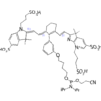 CC(C)N(C(C)C)P(OCCC#N)OCCCCOc1cccc(C2=C(/C=C/C3=Nc4c(cc(S(=O)(=O)O)c[n+]4CCCS(=O)(=O)O)C3(C)C)CCC/C2=C\C=C2\N(CCCS(=O)(=O)O)c3ccc(S(=O)(=O)O)cc3C2(C)C)c1